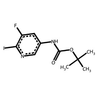 CC(C)(C)OC(=O)Nc1cnc(I)c(F)c1